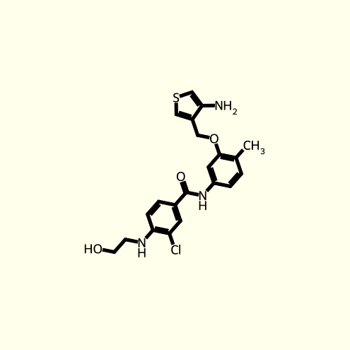 Cc1ccc(NC(=O)c2ccc(NCCO)c(Cl)c2)cc1OCc1cscc1N